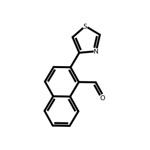 O=Cc1c(-c2cscn2)ccc2ccccc12